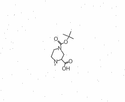 CN1CCN(C(=O)OC(C)(C)C)CC1C(=O)O